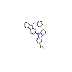 Bc1ccc2c(c1)c1ccccc1n2-c1ccc2c3ccccc3n(Cc3ccccc3)c2n1